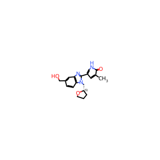 Cc1cc(-c2nc3cc(CO)ccc3n2C[C@@H]2CCCO2)c[nH]c1=O